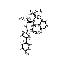 CCc1cccc(CC)c1N1C(C=C(C)C)=C(C(=O)O)C=C(c2nc(-c3ccc(C(F)(F)F)cc3)cs2)C1O